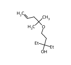 C=CCC(C)(C)OCCC(O)(CC)CC